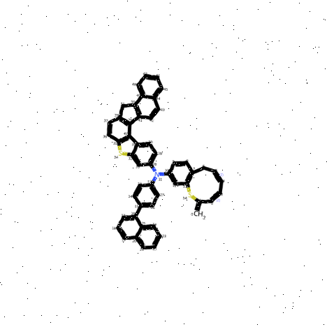 C=C1/C=C\C=C/Cc2ccc(N(c3ccc(-c4cccc5ccccc45)cc3)c3ccc4c(c3)sc3ccc5c(c34)-c3ccc4ccccc4c3C5)cc2S1